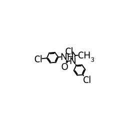 CC(Cl)N(C(=O)Nc1ccc(Cl)cc1)c1ccc(Cl)cc1